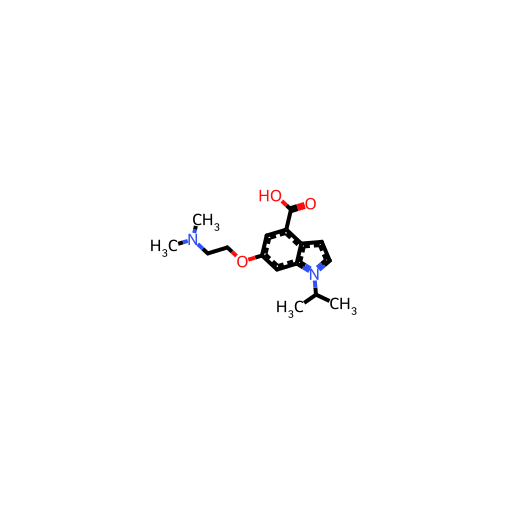 CC(C)n1ccc2c(C(=O)O)cc(OCCN(C)C)cc21